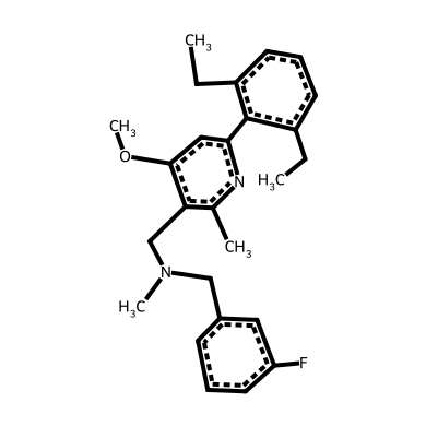 CCc1cccc(CC)c1-c1cc(OC)c(CN(C)Cc2cccc(F)c2)c(C)n1